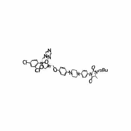 CCCCN1C(=O)N(c2ccc(N3CCN(c4ccc(OC[C@@H]5CO[C@@](Cn6cncn6)(c6ccc(Cl)cc6Cl)O5)cc4)CC3)cc2)C(=O)C1C